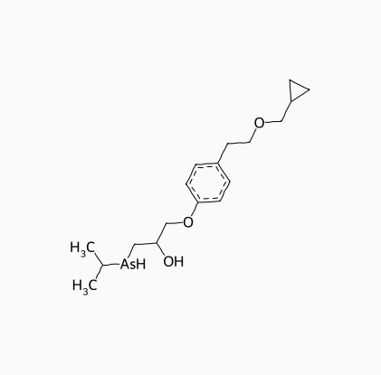 CC(C)[AsH]CC(O)COc1ccc(CCOCC2CC2)cc1